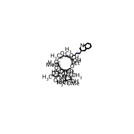 CC[C@H]1OC(=O)[C@H](C)[C@@H](O[C@H]2C[C@@](C)(OC)[C@@H](O)[C@H](C)O2)[C@H](C)[C@@H](O[C@@H]2O[C@H](C)[C@@H](OC(C)(C)C)[C@H](N(C)C)[C@H]2O)[C@](C)(OC)C[C@@H](C)C(=O)[C@H](C)[C@@H](OC/C=C/c2cnc3ccccc3c2)[C@]1(C)O